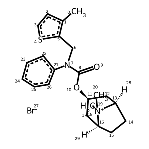 Cc1ccsc1CN(C(=O)O[C@H]1C[C@H]2CC[C@@H](C1)[N+]2(C)C)c1ccccc1.[Br-]